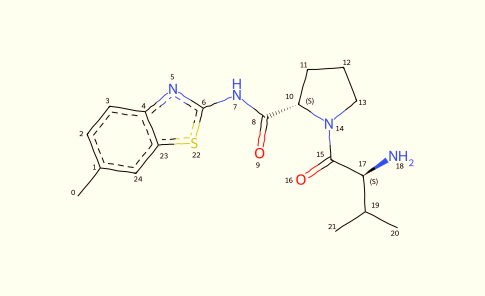 Cc1ccc2nc(NC(=O)[C@@H]3CCCN3C(=O)[C@@H](N)C(C)C)sc2c1